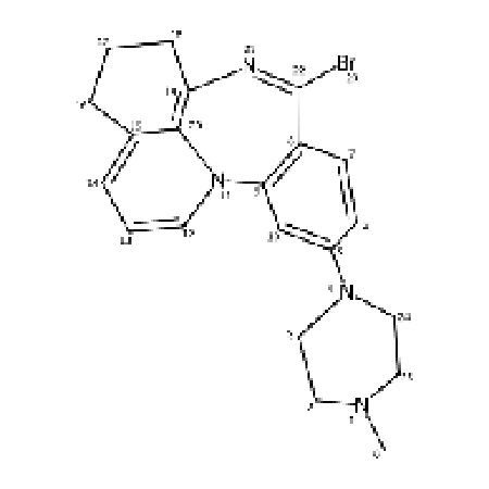 CN1CCN(c2ccc3c(c2)N2C=CC=C4CCCC(=C42)N=C3Br)CC1